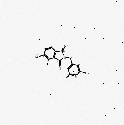 Cc1c(O)ccc2c1C(=O)N(Cc1cc(F)cc(F)c1)C2=O